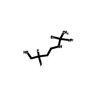 CCCC(C)(CC)NCCC(F)(F)CO